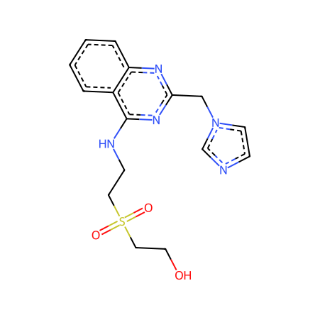 O=S(=O)(CCO)CCNc1nc(Cn2ccnc2)nc2ccccc12